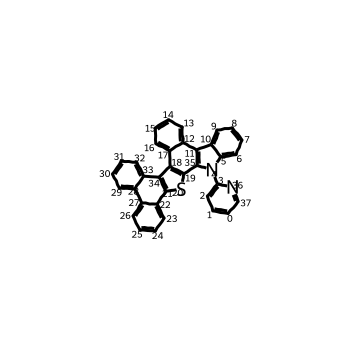 c1ccc(-n2c3ccccc3c3c4ccccc4c4c(sc5c6ccccc6c6ccccc6c54)c32)nc1